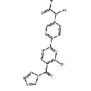 CC(=O)N(C(=O)C(C)N)c1ccc(-c2ncc(C(=O)n3ccnc3)c(O)n2)cc1